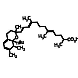 CCCCC12OC(C)(CC/C=C(\C)CCC/C(C)=C/CCC(C)C(=O)O)CCC1=CC=C(C)C2C